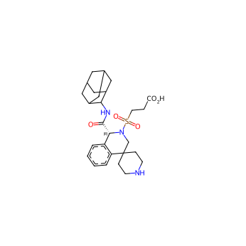 O=C(O)CCS(=O)(=O)N1CC2(CCNCC2)c2ccccc2[C@@H]1C(=O)NC1C2CC3CC(C2)CC1C3